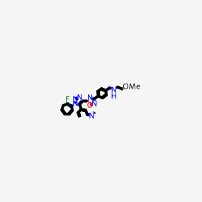 C=C/C(=C\C=N/C)c1c(-c2nc(-c3ccc(CNCCOC)cc3)no2)nnn1C1=C(F)CC=CC=C1